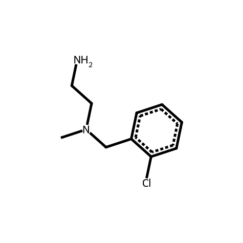 CN(CCN)Cc1ccccc1Cl